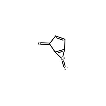 [N-]=[N+]1C2=C1C(=O)C=C2